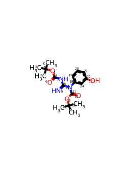 CC(C)(C)OC(=O)NC(=N)N(C(=O)OC(C)(C)C)c1cccc(O)c1